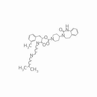 CC(C)=C=C=NC=C=C=NC(=O)[C@@H](Cc1cccc(C)c1)OC(=O)N1CCC(N2CCc3ccccc3NC2=O)CC1